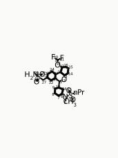 CCCS(=O)(=O)N(C)c1cccc(C2Oc3cccc(OC(F)F)c3-c3ccc(CS(N)(=O)=O)cc32)c1